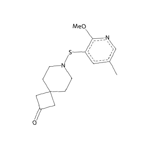 COc1ncc(C)cc1SN1CCC2(CC1)CC(=O)C2